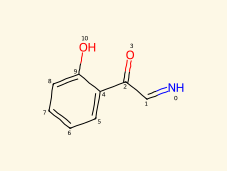 N=CC(=O)c1ccccc1O